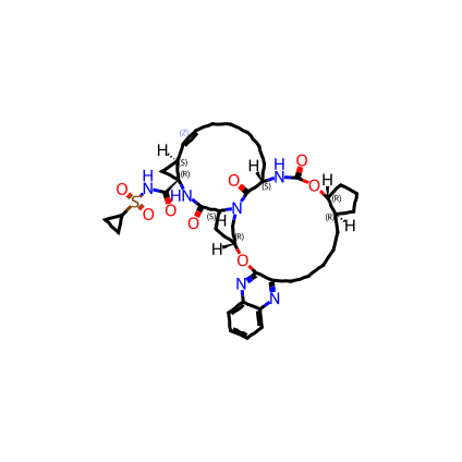 O=C1N[C@H]2CCCCC/C=C\[C@@H]3C[C@@]3(C(=O)NS(=O)(=O)C3CC3)NC(=O)[C@@H]3C[C@H](CN3C2=O)Oc2nc3ccccc3nc2CCCCC[C@@H]2CCC[C@H]2O1